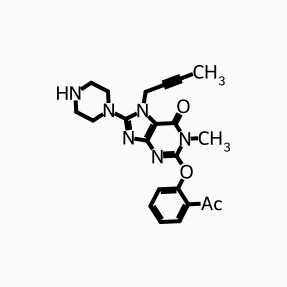 CC#CCn1c(N2CCNCC2)nc2nc(Oc3ccccc3C(C)=O)n(C)c(=O)c21